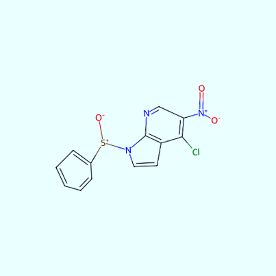 O=[N+]([O-])c1cnc2c(ccn2[S+]([O-])c2ccccc2)c1Cl